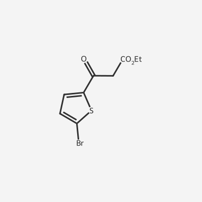 CCOC(=O)CC(=O)c1ccc(Br)s1